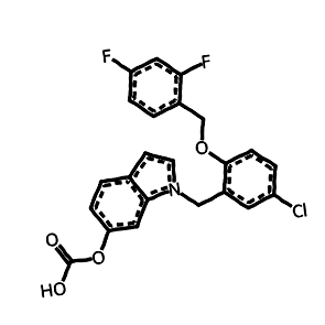 O=C(O)Oc1ccc2ccn(Cc3cc(Cl)ccc3OCc3ccc(F)cc3F)c2c1